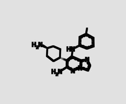 Cc1cccc(Nc2c3nccn3nc(N)c2[C@H]2CC[C@H](N)CC2)c1